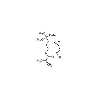 C=C(C)C(=O)OCCC[Si](OC)(OC)OC.[CH2]CCOCC1CO1